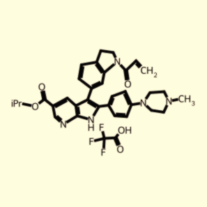 C=CC(=O)N1CCc2ccc(-c3c(-c4ccc(N5CCN(C)CC5)cc4)[nH]c4ncc(C(=O)OC(C)C)cc34)cc21.O=C(O)C(F)(F)F